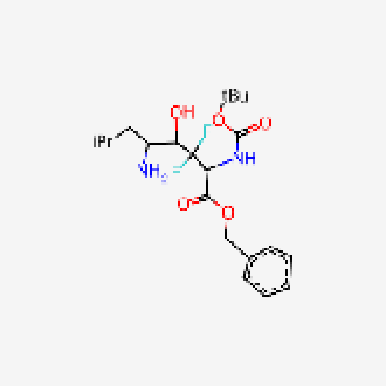 CC(C)CC(N)C(O)C(F)(F)C(NC(=O)OC(C)(C)C)C(=O)OCc1ccccc1